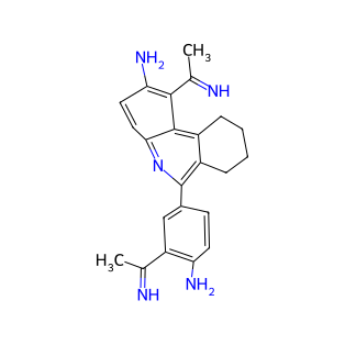 CC(=N)c1cc(-c2nc3ccc(N)c(C(C)=N)c3c3c2CCCC3)ccc1N